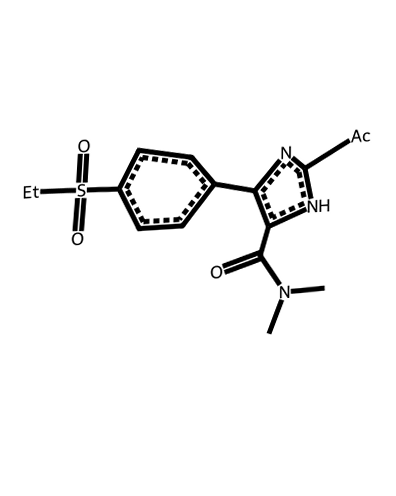 CCS(=O)(=O)c1ccc(-c2nc(C(C)=O)[nH]c2C(=O)N(C)C)cc1